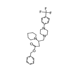 O=C(CC(CN1CCN(c2ccc(C(F)(F)F)cc2)CC1)N1CCCCC1)OCc1ccccc1